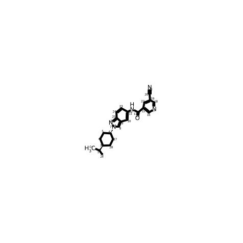 CC(I)[C@H]1CC[C@H](n2cc3cc(NC(=O)c4cncc(C#N)c4)ccc3n2)CC1